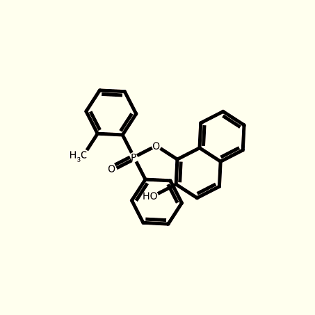 Cc1ccccc1P(=O)(Oc1c(O)ccc2ccccc12)c1ccccc1